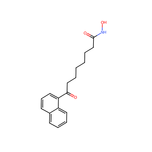 O=C(CCCCCCC(=O)c1cccc2ccccc12)NO